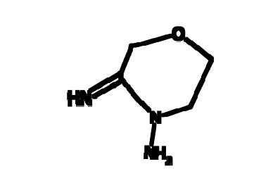 N=C1COCCN1N